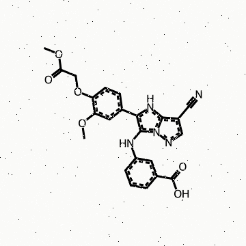 COC(=O)COc1ccc(-c2[nH]c3c(C#N)cnn3c2Nc2cccc(C(=O)O)c2)cc1OC